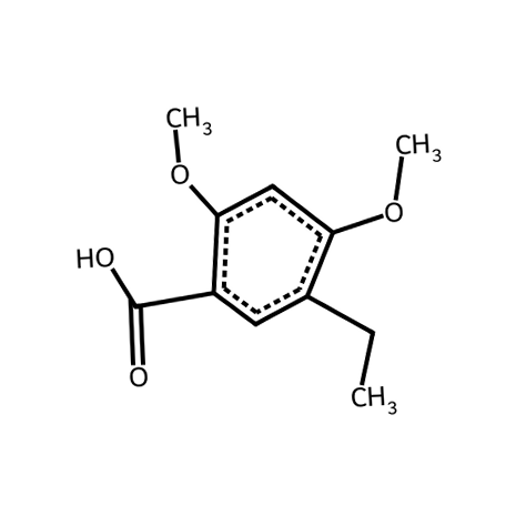 CCc1cc(C(=O)O)c(OC)cc1OC